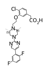 C[C@@H]1CN(c2ncc(-c3cc(F)ccc3F)cn2)C[C@H](C)N1CCOc1cc(CC(=O)O)ccc1Cl